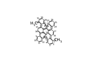 Cc1cccc([As](c2ccccc2)c2c3ccccc3c([As](c3ccccc3)c3cccc(C)c3)c3ccccc23)c1